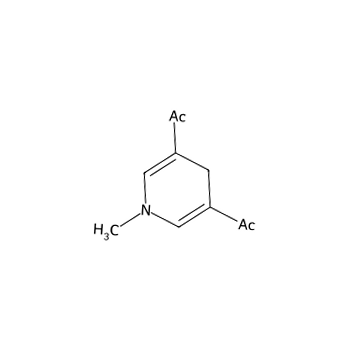 CC(=O)C1=CN(C)C=C(C(C)=O)C1